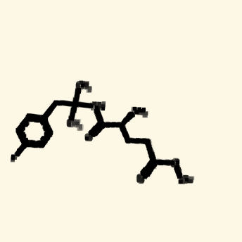 CC(C)(Cc1ccc(F)cc1)NC(=O)[C@@H](N)CCC(=O)OC(C)(C)C